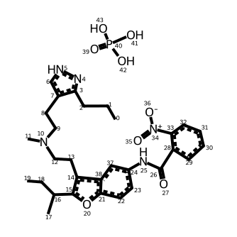 CCCc1n[nH]cc1CCN(C)CCc1c(C(C)CC)oc2ccc(NC(=O)c3ccccc3[N+](=O)[O-])cc12.O=P(O)(O)O